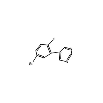 CCc1ccc(F)c(-c2cncnc2)c1